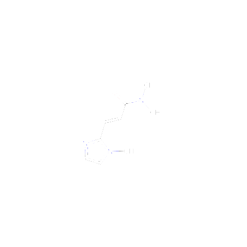 CN(C)C(=O)/C=C/c1nccn1C